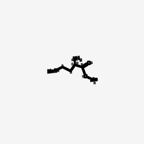 CSCC[C@H](N)C(=O)[O][Mo]